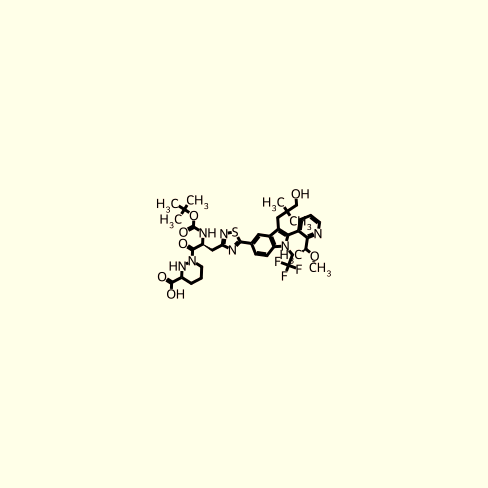 CO[C@@H](C)c1ncccc1-c1c(CC(C)(C)CO)c2cc(-c3nc(C[C@H](NC(=O)OC(C)(C)C)C(=O)N4CCCC(C(=O)O)N4)ns3)ccc2n1CC(F)(F)F